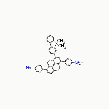 [C-]#[N+]c1ccc(-c2cc(-c3ccc4c(c3)C(C)(C)c3ccccc3-4)c3ccc4c(-c5ccc(C#N)cc5)ccc5ccc2c3c54)cc1